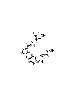 CCN(CC)CCNC(=O)N1CCC(Sc2ccc(C)cc2)C1.O=C(O)C(=O)O